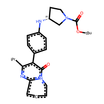 CC(C)c1nc2ccccn2c(=O)c1-c1ccc(N[C@@H]2CCN(C(=O)OC(C)(C)C)C2)cc1